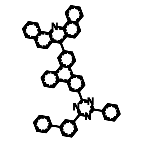 c1ccc(-c2cccc(-c3nc(-c4ccccc4)nc(-c4ccc5c6ccc(-c7c8ccc9ccccc9c8nc8c7ccc7ccccc78)cc6c6ccccc6c5c4)n3)c2)cc1